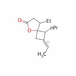 C/C=C1\CC2(OC(=O)CC2CC)C1CCC